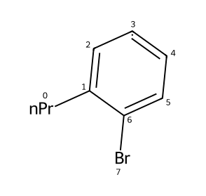 CCCc1c[c]ccc1Br